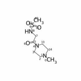 CN1CCN(C(=O)CNS(C)(=O)=O)CC1